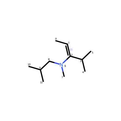 C/C=C(/C(C)C)N(C)CC(C)C